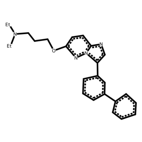 CCN(CC)CCCOc1ccc2ncc(-c3cccc(-c4ccccc4)c3)n2n1